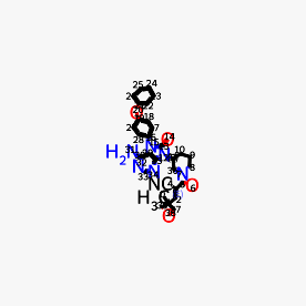 CC1(/C=C(\C#N)C(=O)N2CCC[C@H](n3c(=O)n(-c4ccc(Oc5ccccc5)cc4)c4c(N)ncnc43)C2)COC1